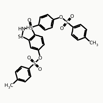 Cc1ccc(S(=O)(=O)Oc2ccc([SH]3(=O)N[Se]c4cc(OS(=O)(=O)c5ccc(C)cc5)ccc43)cc2)cc1